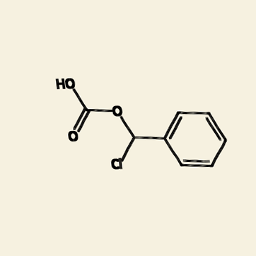 O=C(O)OC(Cl)c1ccccc1